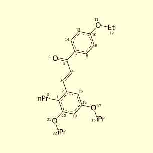 CCCc1c(C=CC(=O)c2ccc(OCC)cc2)cc(OC(C)C)cc1OC(C)C